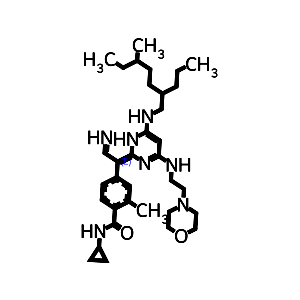 CCCC(CCC(C)CC)CNC1=CC(NCCN2CCOCC2)=N/C(=C(/C=N)c2ccc(C(=O)NC3CC3)c(C)c2)N1